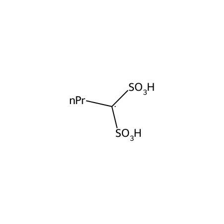 CCC[C](S(=O)(=O)O)S(=O)(=O)O